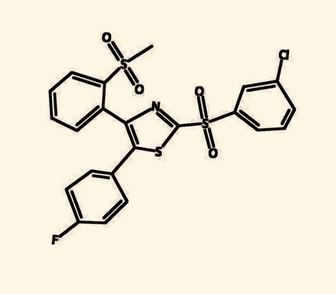 CS(=O)(=O)c1ccccc1-c1nc(S(=O)(=O)c2cccc(Cl)c2)sc1-c1ccc(F)cc1